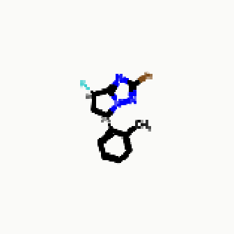 Cc1ccccc1[C@@H]1C[C@H](F)c2nc(Br)nn21